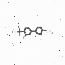 Cc1ccc(-c2ccc(C(O)(F)F)c(F)c2)cc1